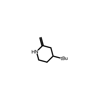 C=C1CC(C(C)(C)C)CCN1